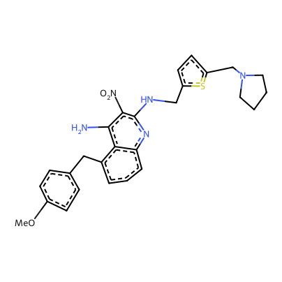 COc1ccc(Cc2cccc3nc(NCc4ccc(CN5CCCC5)s4)c([N+](=O)[O-])c(N)c23)cc1